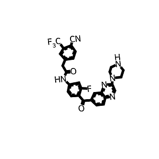 N#Cc1ccc(CC(=O)Nc2ccc(C(=O)c3ccc4ncc(N5CCNCC5)nc4c3)c(F)c2)cc1C(F)(F)F